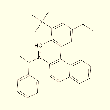 CCc1cc(-c2c(NC(C)c3ccccc3)ccc3ccccc23)c(O)c(C(C)(C)C)c1